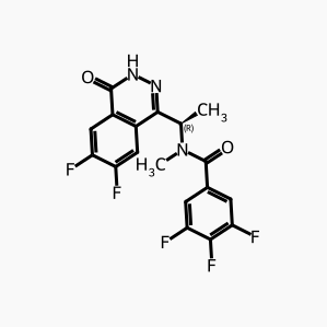 C[C@H](c1n[nH]c(=O)c2cc(F)c(F)cc12)N(C)C(=O)c1cc(F)c(F)c(F)c1